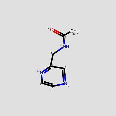 [CH2]C(=O)NCc1cnccn1